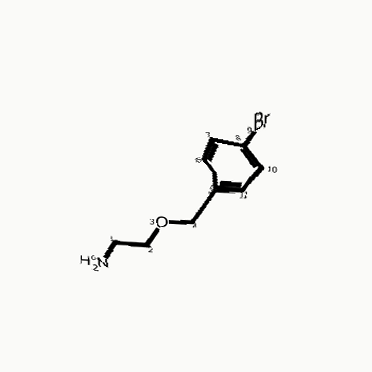 NCCOCc1ccc(Br)cc1